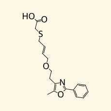 Cc1oc(-c2ccccc2)nc1CCOC/C=C/CSCC(=O)O